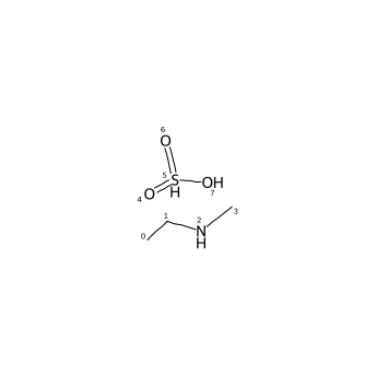 CCNC.O=[SH](=O)O